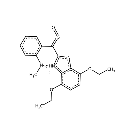 CCOc1ccc(OCC)c2[nH]c(C(=S=O)c3ccccc3N(C)C)nc12